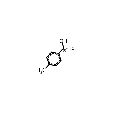 Cc1ccc([C@H](O)C(C)C)cc1